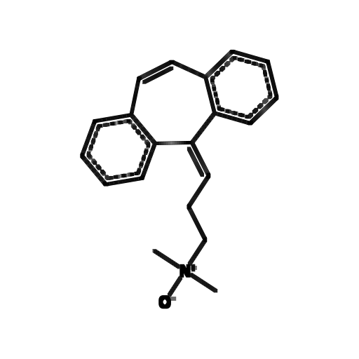 C[N+](C)([O-])CCC=C1c2ccccc2C=Cc2ccccc21